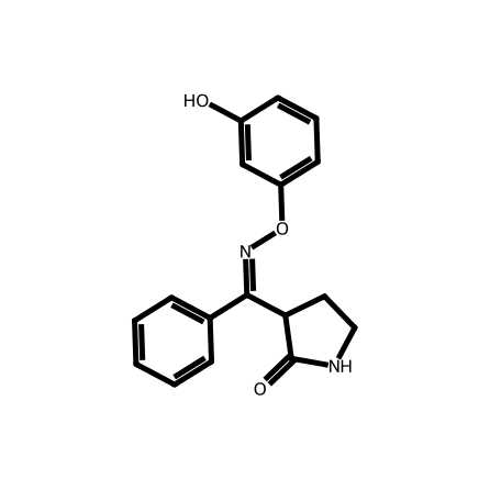 O=C1NCCC1/C(=N\Oc1cccc(O)c1)c1ccccc1